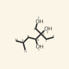 CCC(O)(CO)C(O)CC(C)C